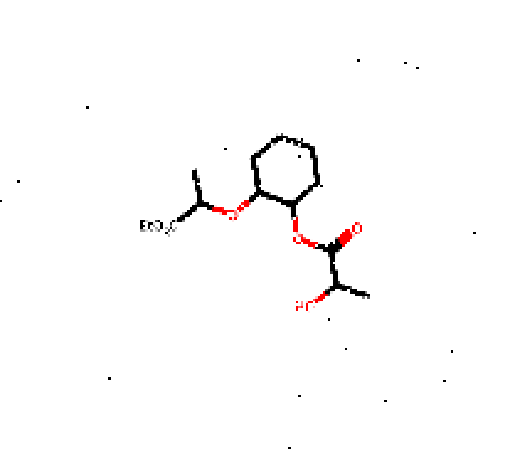 CCOC(=O)C(C)OC1CCCCC1OC(=O)C(C)O